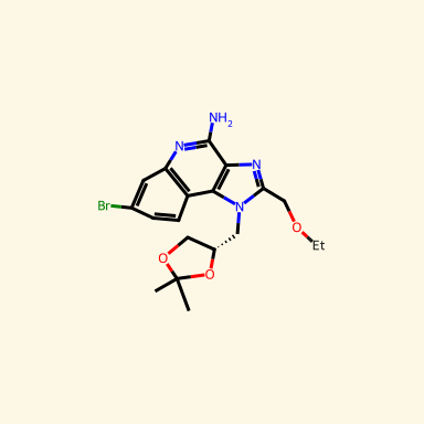 CCOCc1nc2c(N)nc3cc(Br)ccc3c2n1C[C@H]1COC(C)(C)O1